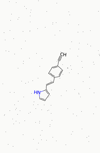 C#Cc1ccc(C=Cc2ccc[nH]2)cc1